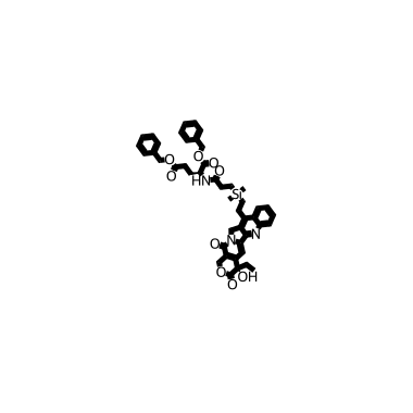 CC[C@@]1(O)C(=O)OCc2c1cc1n(c2=O)Cc2c-1nc1ccccc1c2CC[Si](C)(C)CCC(=O)N[C@@H](CCC(=O)OCc1ccccc1)C(=O)OCc1ccccc1